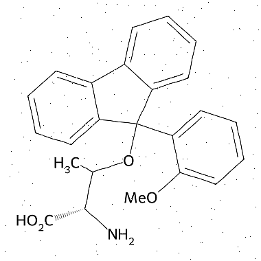 COc1ccccc1C1(OC(C)[C@H](N)C(=O)O)c2ccccc2-c2ccccc21